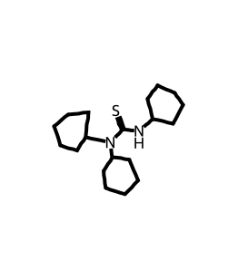 S=C(NC1CCCCC1)N(C1CCCCC1)C1CCCCC1